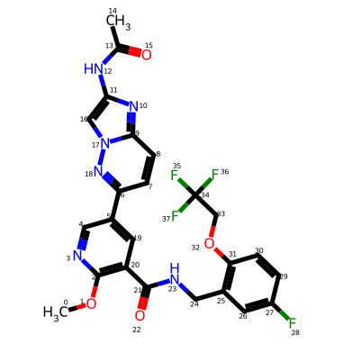 COc1ncc(-c2ccc3nc(NC(C)=O)cn3n2)cc1C(=O)NCc1cc(F)ccc1OCC(F)(F)F